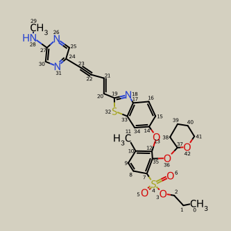 CCCOS(=O)(=O)c1ccc(C)c(Oc2ccc3nc(C=CC#Cc4cnc(NC)cn4)sc3c2)c1OC1CCCCO1